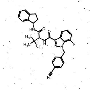 CC(C)(C)[C@H](NC(=O)c1nn(Cc2ccc(C#N)cc2)c2c(F)cccc12)C(=O)N[C@@H]1CCc2ccccc21